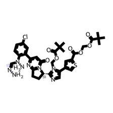 CC(C)(C)C(=O)OCOC(=O)c1cc(-c2cnc([C@@H]3CCc4nc(-c5cc(Cl)ccc5N(N)/C=N\N)cc(=O)n43)n2COC(=O)C(C)(C)C)cs1